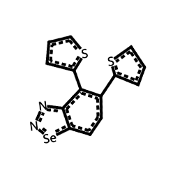 c1csc(-c2ccc3[se]nnc3c2-c2cccs2)c1